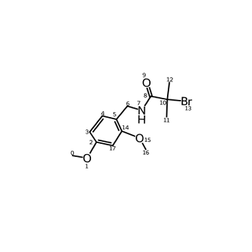 COc1ccc(CNC(=O)C(C)(C)Br)c(OC)c1